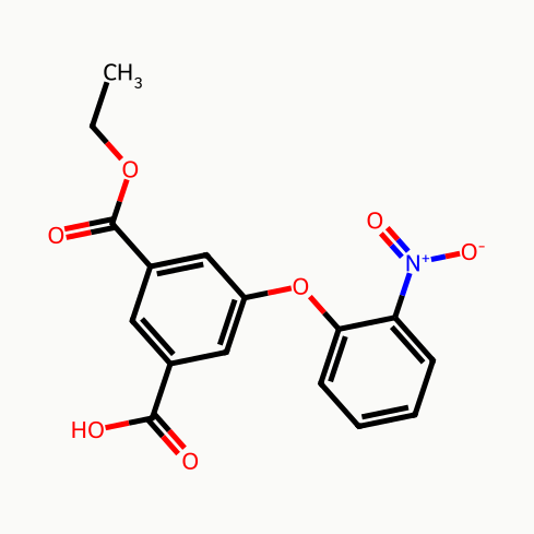 CCOC(=O)c1cc(Oc2ccccc2[N+](=O)[O-])cc(C(=O)O)c1